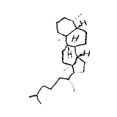 CC(C)CCC[C@@H](C)[C@H]1CC[C@H]2[C@@H]3CC[C@H]4[C@@H](C)CCC[C@]4(C)[C@H]3CC[C@]12C